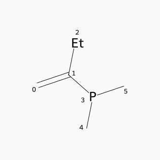 C=C(CC)P(C)C